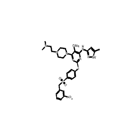 COc1c(Nc2cc(C)[nH]n2)nc(Sc2ccc(S(=O)(=O)Cc3cccc([N+](=O)[O-])c3)cc2)nc1N1CCN(CCN(C)C)CC1